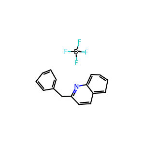 F[B-](F)(F)F.c1ccc(Cc2ccc3ccccc3n2)cc1